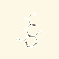 CCc1cccc(CC)c1NC(=S)NC(C)CC